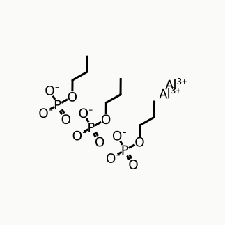 CCCOP(=O)([O-])[O-].CCCOP(=O)([O-])[O-].CCCOP(=O)([O-])[O-].[Al+3].[Al+3]